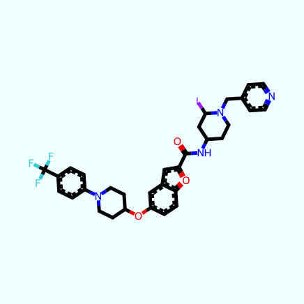 O=C(NC1CCN(Cc2ccncc2)C(I)C1)c1cc2cc(OC3CCN(c4ccc(C(F)(F)F)cc4)CC3)ccc2o1